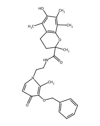 Cc1c(C)c2c(c(C)c1O)CCC(C)(C(=O)NCCn1ccc(=O)c(OCc3ccccc3)c1C)O2